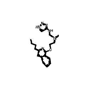 CCCCc1cc2ccccc2c(OCCN(C)CNc2c[nH]nn2)n1